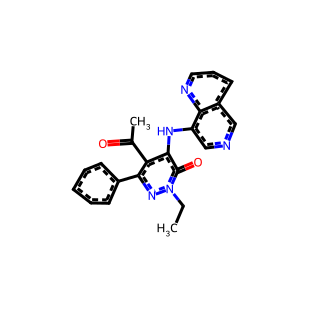 CCn1nc(-c2ccccc2)c(C(C)=O)c(Nc2cncc3cccnc23)c1=O